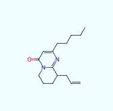 C=CCC1CCCn2c1nc(CCCCC)cc2=O